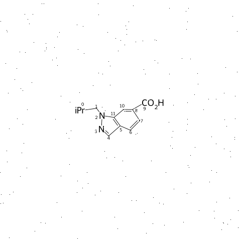 CC(C)Cn1ncc2ccc(C(=O)O)cc21